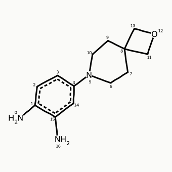 Nc1ccc(N2CCC3(CC2)COC3)cc1N